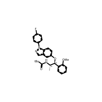 COc1ccccc1[C@H](Oc1ccc2c(cnn2-c2ccc(F)cc2)c1)[C@H](C)NC(=O)C(C)(C)C